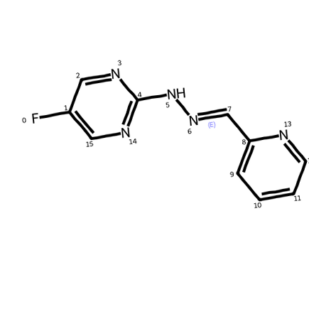 Fc1cnc(N/N=C/c2ccccn2)nc1